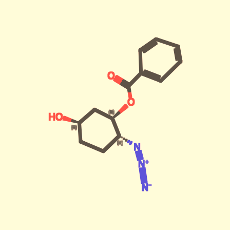 [N-]=[N+]=N[C@@H]1CC[C@@H](O)C[C@H]1OC(=O)c1ccccc1